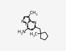 Cc1cnn2c(N)cc(CC3(C)CCCC3)nc12